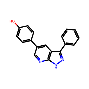 Oc1ccc(-c2cnc3[nH]nc(-c4ccccc4)c3c2)cc1